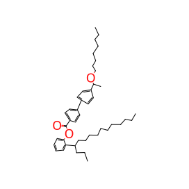 CCCCCCCCCCCC(CCC)c1ccccc1OC(=O)c1ccc(-c2ccc(C(C)OCCCCCCCC)cc2)cc1